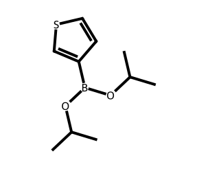 CC(C)OB(OC(C)C)c1ccsc1